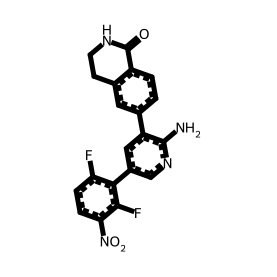 Nc1ncc(-c2c(F)ccc([N+](=O)[O-])c2F)cc1-c1ccc2c(c1)CCNC2=O